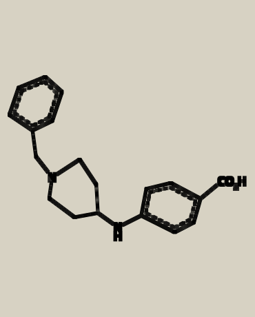 O=C(O)c1ccc(NC2CCN(Cc3ccccc3)CC2)cc1